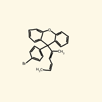 C/C=C\C=C(/C)C1(c2ccc(Br)cc2)c2ccccc2Oc2ccccc21